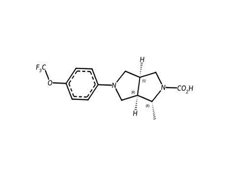 C[C@@H]1[C@H]2CN(c3ccc(OC(F)(F)F)cc3)C[C@H]2CN1C(=O)O